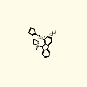 C[Si]1(C2c3ccccc3-c3ccc[c]([Zr+2][C]4=CC=CC4)c32)CCC1.[Cl-].[Cl-]